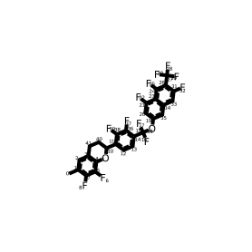 Cc1cc2c(c(F)c1F)OC(c1ccc(C(F)(F)Oc3cc(F)c4c(F)c(C(F)(F)F)c(F)cc4c3)c(F)c1F)CC2